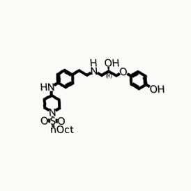 CCCCCCCCS(=O)(=O)N1CCC(Nc2ccc(CCNC[C@@H](O)COc3ccc(O)cc3)cc2)CC1